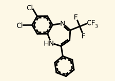 FC(F)(F)C(F)(F)C1=Nc2cc(Cl)c(Cl)cc2NC(c2ccccc2)=C1